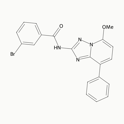 COc1ccc(-c2ccccc2)c2nc(NC(=O)c3cccc(Br)c3)nn12